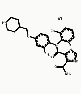 Cc1cc(OCC2CCNCC2)ccc1N(C(=O)c1nc[nH]c1C(N)=O)c1c(F)cccc1Cl.Cl